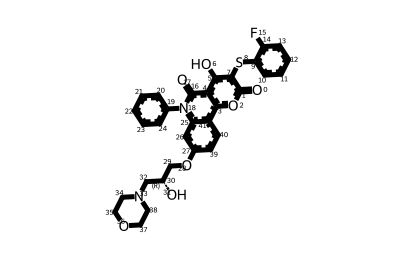 O=c1oc2c(c(O)c1Sc1ccccc1F)c(=O)n(-c1ccccc1)c1cc(OC[C@H](O)CN3CCOCC3)ccc21